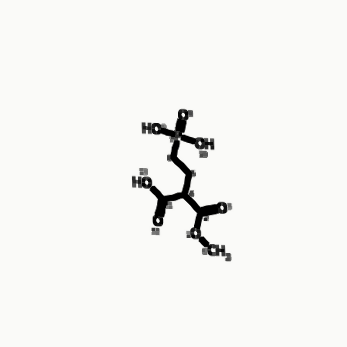 COC(=O)C(CCP(=O)(O)O)C(=O)O